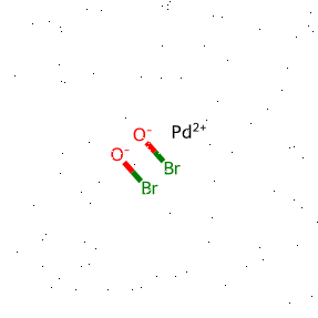 [O-]Br.[O-]Br.[Pd+2]